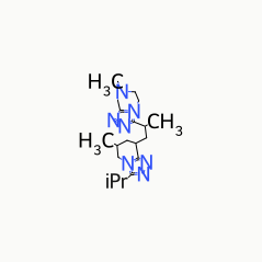 CC1CC(CC(C)c2nnc3n2CCN(C)C3)c2nnc(C(C)C)n2C1